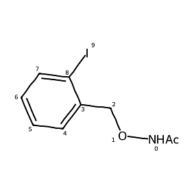 CC(=O)NOCc1ccccc1I